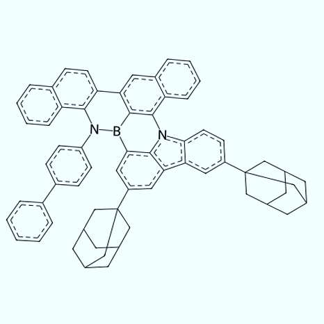 c1ccc(-c2ccc(N3B4c5c(cc6ccccc6c5-n5c6ccc(C78CC9CC(CC(C9)C7)C8)cc6c6cc(C78CC9CC(CC(C9)C7)C8)cc4c65)-c4ccc5ccccc5c43)cc2)cc1